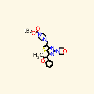 Cc1oc2ccccc2c1-c1nc(N2CCOCC2)nc2c(CN3CCN(C(=O)OC(C)(C)C)CC3)csc12